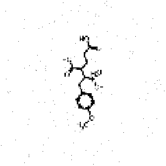 COc1ccc(CC(C(CCC(=O)O)C(=O)O)[PH](=O)O)cc1